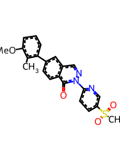 COc1cccc(-c2ccc3c(=O)n(-c4ccc(S(C)(=O)=O)cn4)ncc3c2)c1C